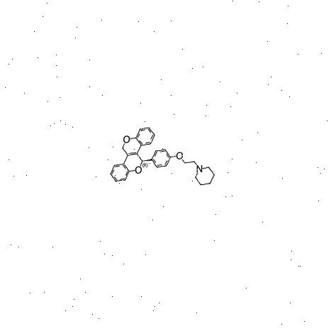 c1ccc2c(c1)O[C@H](c1ccc(OCCN3CCCCC3)cc1)C1=C2COc2ccccc21